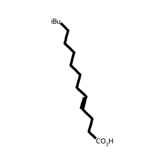 CCC(C)CCCCCCC=CCCC(=O)O